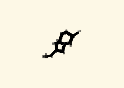 OCc1cn2nc(I)ccc2n1